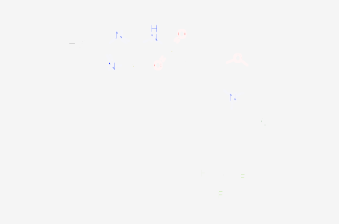 Cc1nsc(NS(=O)(=O)c2ccc3c(c2)OCCN3c2ccc(C(F)(F)F)cc2Cl)n1